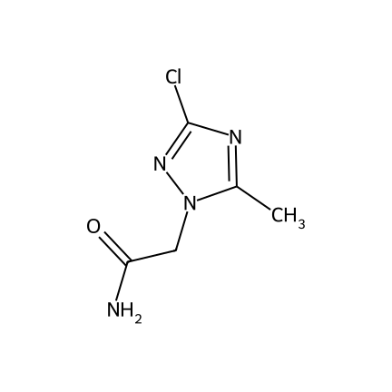 Cc1nc(Cl)nn1CC(N)=O